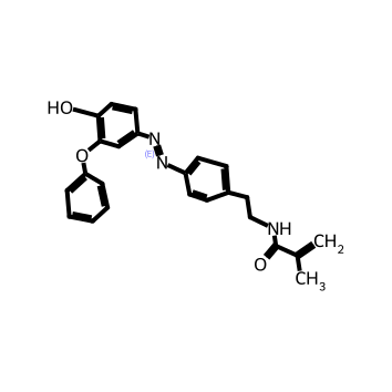 C=C(C)C(=O)NCCc1ccc(/N=N/c2ccc(O)c(Oc3ccccc3)c2)cc1